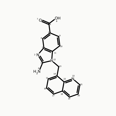 Nc1nc2cc(C(=O)O)ccc2n1Cc1cccc2cccnc12